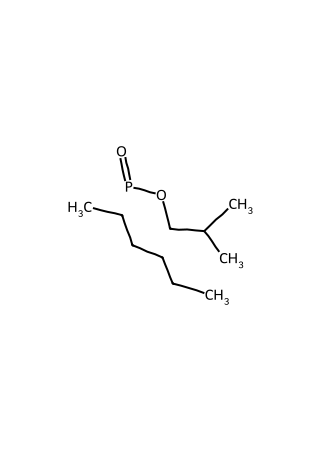 CC(C)COP=O.CCCCCC